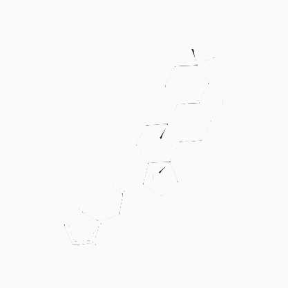 C[C@]12CC[C@H]3[C@@H](CC[C@@H]4C[C@@](O)(F)CC[C@@H]43)[C@@H]1CC[C@@H]2C(=O)Cn1nccn1